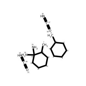 CC1CCCCC1.CC1CCCCC1(N)N.N=C=O.N=C=O